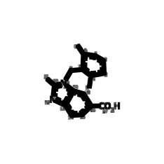 Cc1cccc(C)c1Cn1c(C)nc2ccc(C(=O)O)cc21